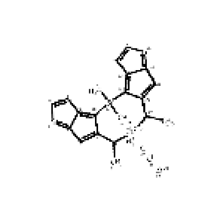 CC(C)C1=CC2=NC=CC2=C1[Si](C)(C)C1=C2C=CN=C2C=C1C(C)C.[Cl-].[Cl-].[Zr+2]